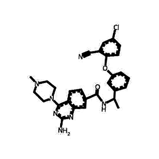 CC(NC(=O)c1ccc2c(N3CCN(C)CC3)nc(N)nc2c1)c1cccc(Oc2ccc(Cl)cc2C#N)c1